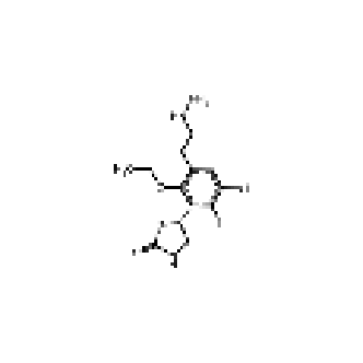 CCOc1c(CCNN)cc(Cl)c(F)c1[C@@H]1CNC(=O)O1